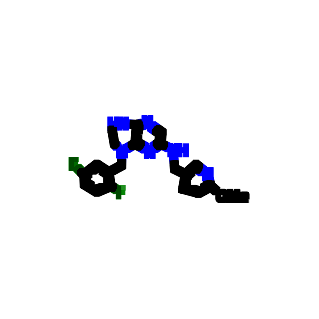 COc1ccc(CNc2cnc3c(n2)N(Cc2cc(F)ccc2F)CCN3)cn1